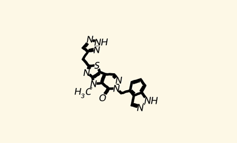 Cn1c2nc(Cc3cn[nH]n3)sc2c2cnn(Cc3cccc4[nH]ncc34)c(=O)c21